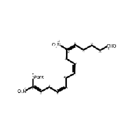 CCCCC/C(=C\C/C=C\C/C=C\C/C(=C\CCC[C]=O)[N+](=O)[O-])[N+](=O)[O-]